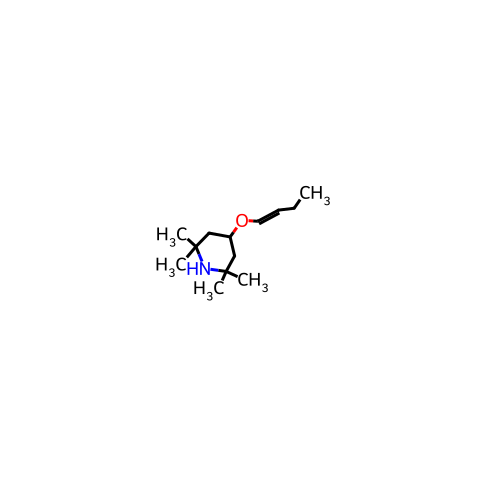 CCC=COC1CC(C)(C)NC(C)(C)C1